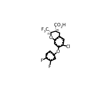 O=C(O)[C@@H]1Cc2cc(Cl)c(Oc3ccc(F)c(F)c3)cc2O[C@@H]1C(F)(F)F